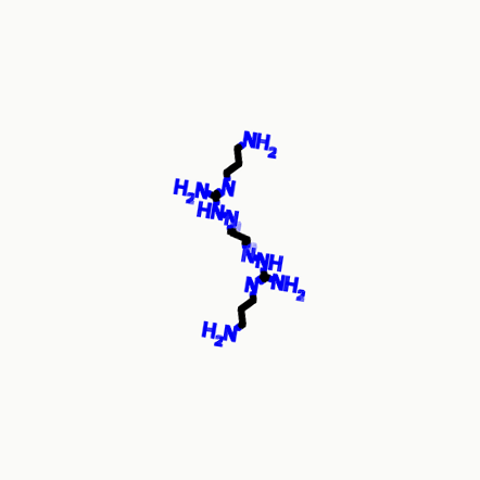 NCCCN=C(N)N/N=C/C=N/NC(N)=NCCCN